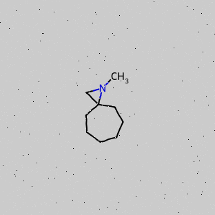 CN1CC12CCCCCC2